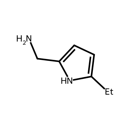 CCc1ccc(CN)[nH]1